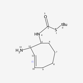 CC(C)(C)SC(=O)NC1CCCC/C=C/C1N